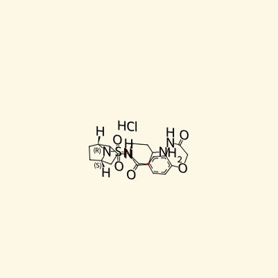 Cl.NC1CCN(S(=O)(=O)N2[C@@H]3CC[C@H]2CC(NC(=O)c2ccc4c(c2)NC(=O)CO4)C3)CC1